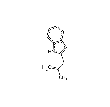 C=C(C)Cc1cc2ccccc2[nH]1